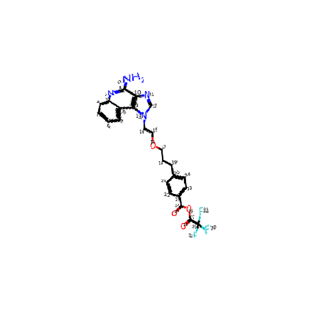 Nc1nc2ccccc2c2c1ncn2CCOCCCc1ccc(C(=O)OC(=O)C(F)(F)F)cc1